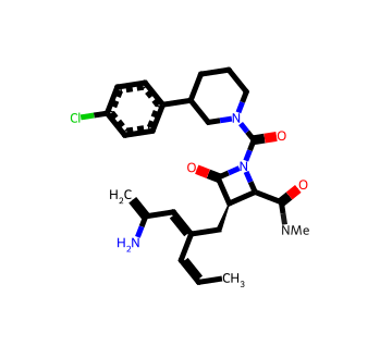 C=C(N)/C=C(\C=C/C)C[C@H]1C(=O)N(C(=O)N2CCCC(c3ccc(Cl)cc3)C2)C1C(=O)NC